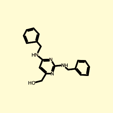 OCc1cc(NCc2ccccc2)nc(NCc2ccccc2)n1